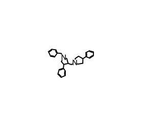 c1ccc(CN2CC(CN3CCC(c4ccccc4)CC3)C(c3ccccc3)C2)cc1